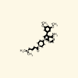 COc1cc(OC)cc(-c2cn(C3CCN(C(=O)/C=C/CN(C)C)CC3)c3ncnc(N)c23)c1